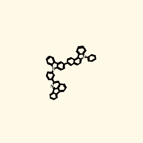 c1ccc(-n2c3ccccc3c3c4ccc(-c5ccc6c(c5)c5ccccc5n6-c5cccc(-c6cc7cccc8c7c(n6)-c6ccccc6-8)c5)cc4ccc32)cc1